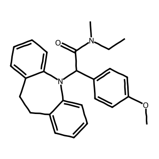 CCN(C)C(=O)C(c1ccc(OC)cc1)N1c2ccccc2CCc2ccccc21